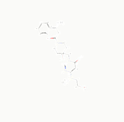 C[C@H](CC(=O)N1CCC(O)(Cn2cnc(N(C)CCO)cc2=O)CC1)c1ccccc1